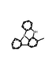 Cc1ccc2c3c1Nc1ccccc1B3c1ccccc1-2